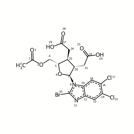 CC(=O)OC[C@H]1O[C@H](n2c(Br)nc3cc(Cl)c(Cl)cc32)[C@@H](CC(=O)O)[C@@H]1CC(=O)O